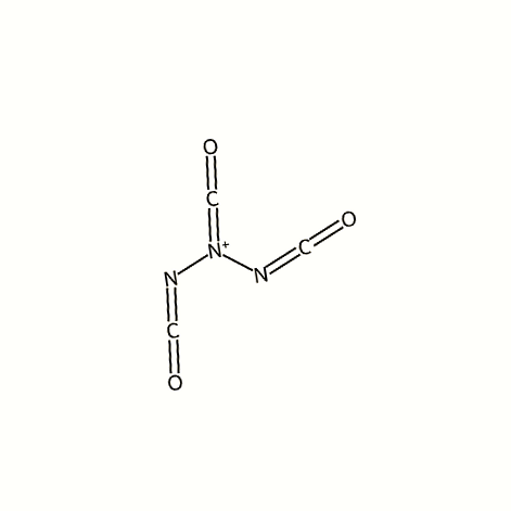 O=C=N[N+](=C=O)N=C=O